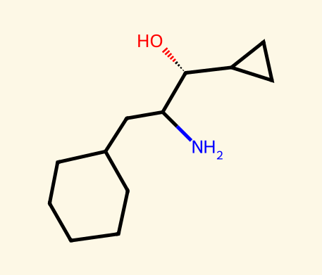 NC(CC1CCCCC1)[C@H](O)C1CC1